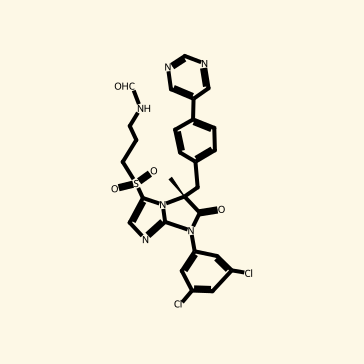 C[C@@]1(Cc2ccc(-c3cncnc3)cc2)C(=O)N(c2cc(Cl)cc(Cl)c2)c2ncc(S(=O)(=O)CCCNC=O)n21